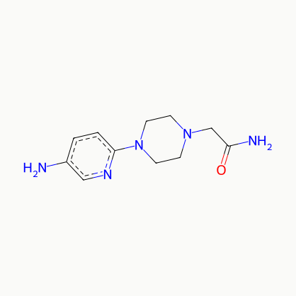 NC(=O)CN1CCN(c2ccc(N)cn2)CC1